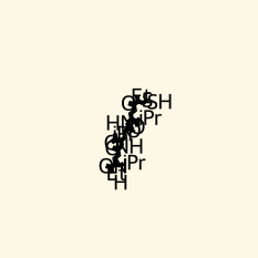 CCC(=O)C(CCC(=O)NC(CCC(=O)NC(CCC(=O)C(CC)CSS)C(=O)C(C)C)C(=O)C(C)C)NC(C)C